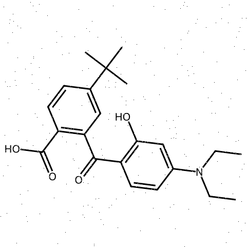 CCN(CC)c1ccc(C(=O)c2cc(C(C)(C)C)ccc2C(=O)O)c(O)c1